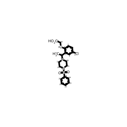 CC(c1cc(Cl)ccc1OCC(=O)O)N1CCN(S(=O)(=O)c2ccccc2)CC1